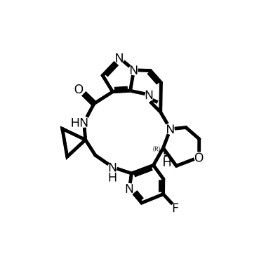 O=C1NC2(CC2)CNc2ncc(F)cc2[C@@H]2COCCN2c2ccn3ncc1c3n2